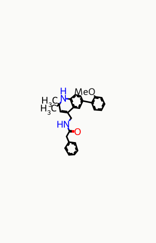 COc1ccccc1-c1ccc2c(c1)C(CNC(=O)Cc1ccccc1)=CC(C)(C)N2